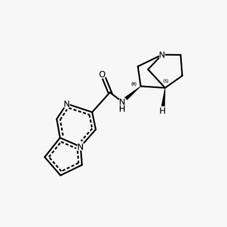 O=C(N[C@H]1CN2CC[C@H]1C2)c1cn2cccc2cn1